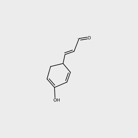 O=[C]C=CC1C=CC(O)=CC1